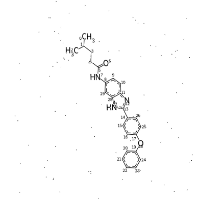 CC(C)CCC(=O)Nc1ccc2nc(-c3ccc(Oc4ccccc4)cc3)[nH]c2c1